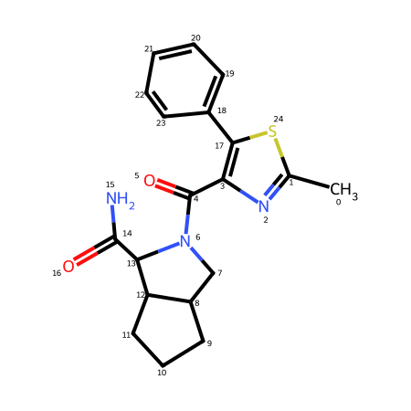 Cc1nc(C(=O)N2CC3CCCC3C2C(N)=O)c(-c2ccccc2)s1